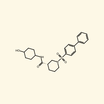 O=C(NC1CCC(O)CC1)[C@H]1CCCN(S(=O)(=O)c2ccc(-c3ccccc3)cc2)C1